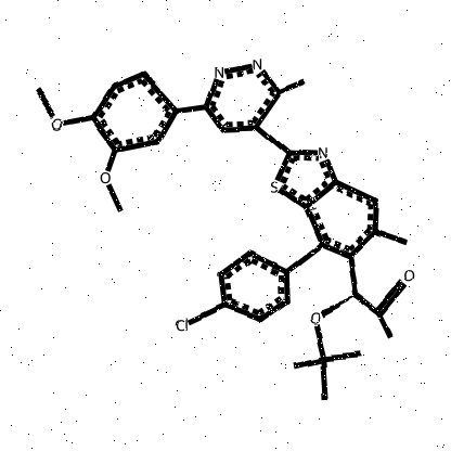 COc1ccc(-c2cc(-c3nc4cc(C)c([C@H](OC(C)(C)C)C(C)=O)c(-c5ccc(Cl)cc5)c4s3)c(C)nn2)cc1OC